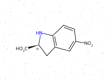 O=C(O)[C@@H]1Cc2cc([N+](=O)[O-])ccc2N1